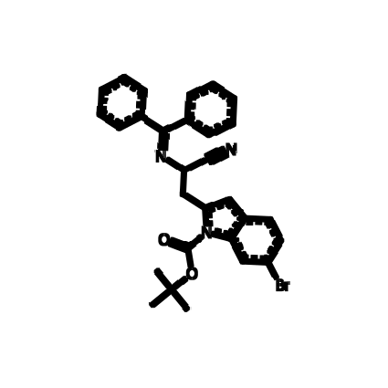 CC(C)(C)OC(=O)n1c(CC(C#N)N=C(c2ccccc2)c2ccccc2)cc2ccc(Br)cc21